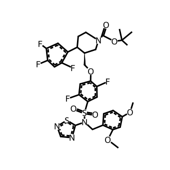 COc1ccc(CN(c2ncns2)S(=O)(=O)c2cc(F)c(OC[C@@H]3CN(C(=O)OC(C)(C)C)CCC3c3cc(F)c(F)cc3F)cc2F)c(OC)c1